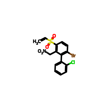 C=CS(=O)(=O)c1ccc(Br)c(-c2ccccc2Cl)c1C[N+](=O)[O-]